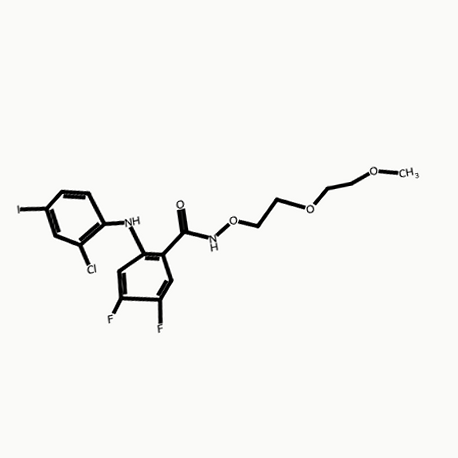 COCCOCCONC(=O)c1cc(F)c(F)cc1Nc1ccc(I)cc1Cl